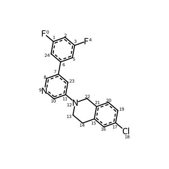 Fc1cc(F)cc(-c2cncc(N3CCc4cc(Cl)ccc4C3)c2)c1